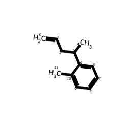 C=CCC(C)c1ccccc1C